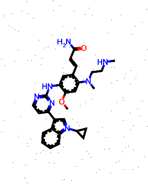 CNCCN(C)c1cc(OC)c(Nc2nccc(-c3cn(C4CC4)c4ccccc34)n2)cc1C=CC(N)=O